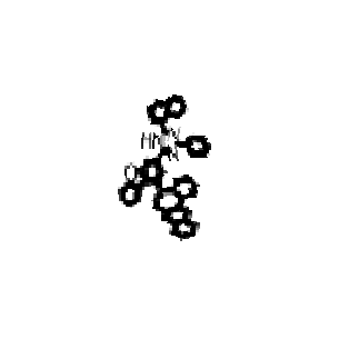 C1=CC2c3cc4ccccc4cc3CCC(c3cc(C4=NC(c5ccccc5)=NC(c5cccc6ccccc56)N4)cc4oc5ccccc5c34)C2C=C1